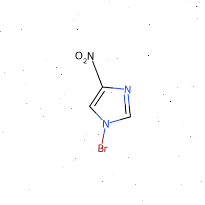 O=[N+]([O-])c1cn(Br)cn1